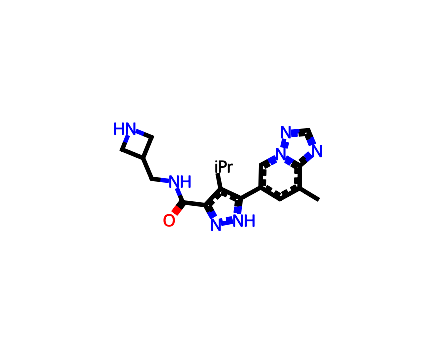 Cc1cc(-c2[nH]nc(C(=O)NCC3CNC3)c2C(C)C)cn2ncnc12